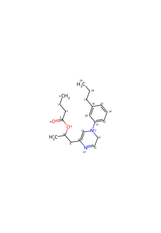 CCCC(=O)OC(C)CC1=CN(c2cccc(CCC)c2)CC=N1